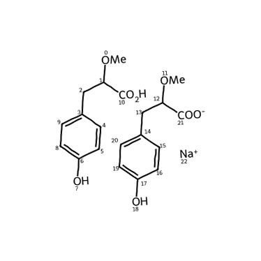 COC(Cc1ccc(O)cc1)C(=O)O.COC(Cc1ccc(O)cc1)C(=O)[O-].[Na+]